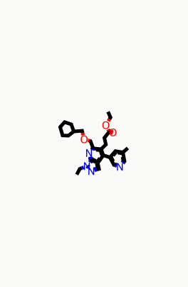 CCOC(=O)CCc1c(COCC2CCCCC2)nc2c(cnn2CC)c1-c1cncc(C)c1